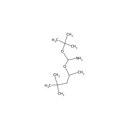 CC(CC(C)(C)C)OC(N)OC(C)(C)C